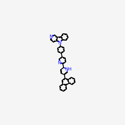 C1=CC(c2ccc(-c3ccc(-n4c5ccccc5c5cnccc54)cc3)cn2)NC=C1c1cc2ccccc2c2ccccc12